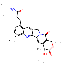 CCC1(O)C(=O)OCc2c1cc1n(c2=O)Cc2cc3c(CCC(N)=O)cccc3nc2-1